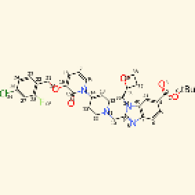 CC(C)(C)OC(=O)c1ccc2nc(CN3CC=C(n4cccc(OCc5ccc(Cl)cc5F)c4=O)CC3)n(C[C@@H]3CCO3)c2c1